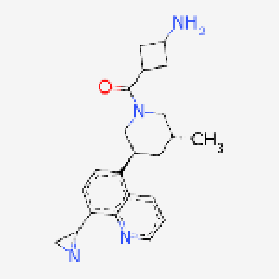 C[C@@H]1C[C@@H](c2ccc(C3=NC3)c3ncccc23)CN(C(=O)C2CC(N)C2)C1